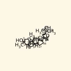 C[C@@]1(O)CC[C@@]2(C)[C@@H](CC[C@@H]3[C@@H]2CC[C@]2(C)[C@@H](c4cc([Si](C)(C)C)on4)CC[C@@H]32)C1